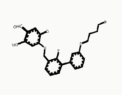 O=Cc1cc(Cl)c(OCc2cccc(-c3cccc(OCCCCBr)c3)c2F)cc1O